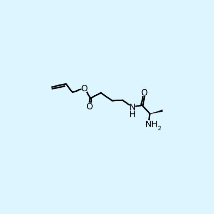 C=CCOC(=O)CCCNC(=O)[C@@H](C)N